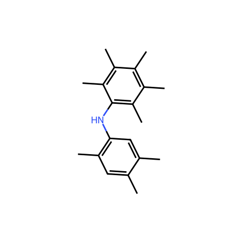 Cc1cc(C)c(Nc2c(C)c(C)c(C)c(C)c2C)cc1C